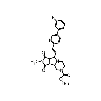 CN1C(=O)C2C(C1=O)C1CN(C(=O)OC(C)(C)C)CCN1C2/C=C/c1ccc(-c2cccc(F)c2)cn1